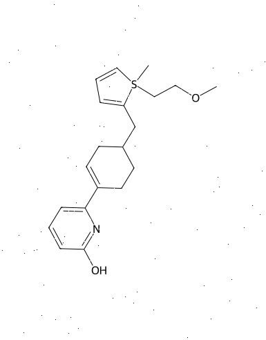 COCCS1(C)C=CC=C1CC1CC=C(c2cccc(O)n2)CC1